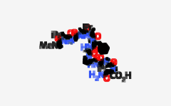 CN[C@@H](C)C(=O)N[C@@H](CC(C)C)C(=O)N(C)CC(=O)N[C@@H](C)C(=O)N[C@@H](CC(C)C)C(=O)N(C)[C@@H](Cc1ccccc1)C(=O)N[C@@H](C)C(=O)N1CCC[C@H]1C(=O)N[C@@H](C)C(=O)N(C)[C@H](C(=O)N(C)[C@@H](CC(N)=O)C(=O)O)C(C)C